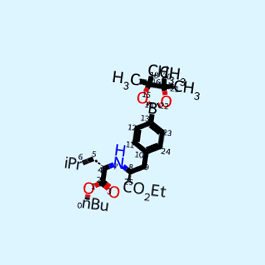 CCCCOC(=O)[C@H](CC(C)C)N[C@@H](Cc1ccc(B2OC(C)(C)C(C)(C)O2)cc1)C(=O)OCC